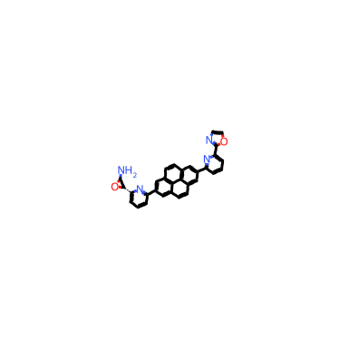 NC1O[C@H]1c1cccc(-c2cc3ccc4cc(-c5cccc(-c6ncco6)n5)cc5ccc(c2)c3c45)n1